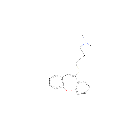 CN(C)CCCSC1=Cc2ccccc2Oc2ccccc21